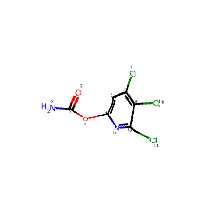 NC(=O)Oc1cc(Cl)c(Cl)c(Cl)n1